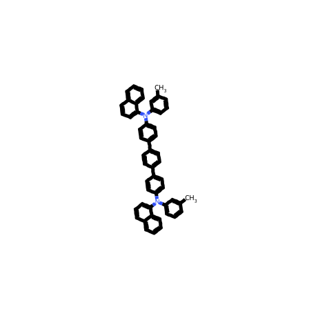 Cc1cccc(N(c2ccc(-c3ccc(-c4ccc(N(c5cccc(C)c5)c5cccc6ccccc56)cc4)cc3)cc2)c2cccc3ccccc23)c1